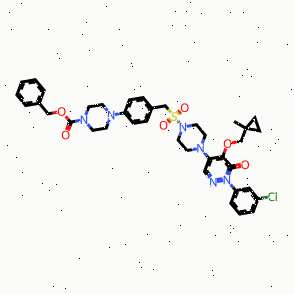 CC1(COc2c(N3CCN(S(=O)(=O)Cc4ccc(N5CCN(C(=O)OCc6ccccc6)CC5)cc4)CC3)cnn(-c3cccc(Cl)c3)c2=O)CC1